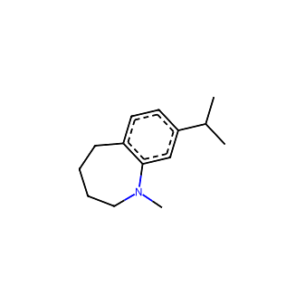 CC(C)c1ccc2c(c1)N(C)CCCC2